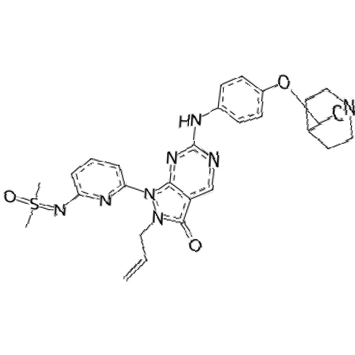 C=CCn1c(=O)c2cnc(Nc3ccc(OC4CN5CCC4CC5)cc3)nc2n1-c1cccc(N=S(C)(C)=O)n1